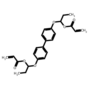 C=CC(=O)OC(CC)Oc1ccc(-c2ccc(OC(CC)OC(=O)C=C)cc2)cc1